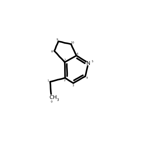 CCc1ccnc2c1CCC2